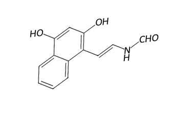 O=CNC=Cc1c(O)cc(O)c2ccccc12